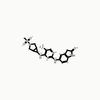 CS(=O)(=O)N1CC2C(C1)C2Nc1nc(Nc2ccc3c(c2)CC(=O)N3)ncc1C(F)(F)F